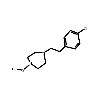 SSN1CCN(CCc2ccc(Cl)cc2)CC1